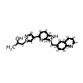 CC(O)Cn1cc(-c2ccc3[nH]n(Cc4ccc5ncccc5c4)c3n2)cn1